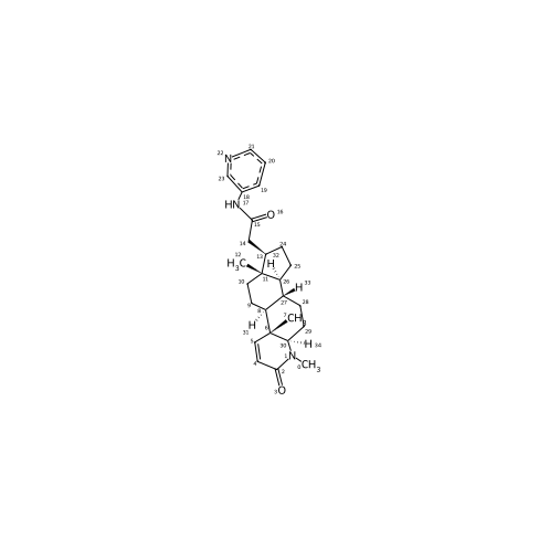 CN1C(=O)C=C[C@]2(C)[C@H]3CC[C@]4(C)[C@@H](CC(=O)Nc5cccnc5)CC[C@H]4[C@@H]3CC[C@@H]12